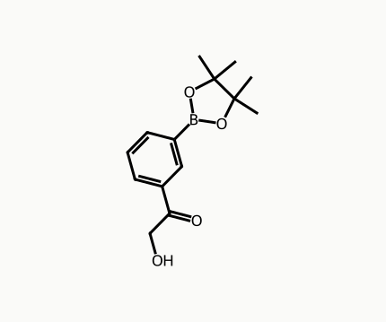 CC1(C)OB(c2cccc(C(=O)CO)c2)OC1(C)C